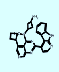 CN(c1nc(-c2ccnc3[nH]c4ccccc4c23)nc2cncc(C3CCC3)c12)C1CC(N)C1